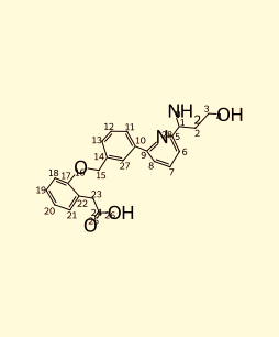 NC(CCO)c1cccc(-c2cccc(COc3ccccc3CC(=O)O)c2)n1